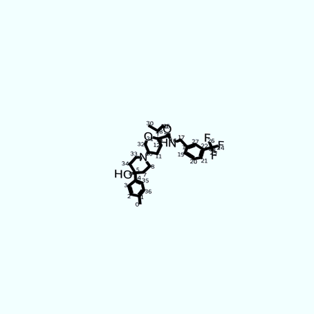 Cc1ccc(C2(O)CCN(C3CC[C@@](C(=O)NCc4cccc(C(F)(F)F)c4)(C(C)C)OC3)CC2)cc1